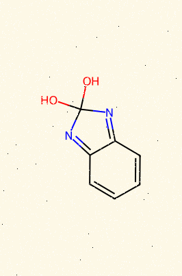 OC1(O)N=c2ccccc2=N1